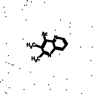 CC(=O)c1c(C)c(C)nc2cccnc12